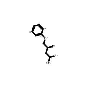 CCC(F)CC(F)COc1ccccc1